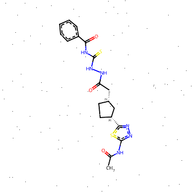 CC(=O)Nc1nnc([C@@H]2CC[C@H](CC(=O)NNC(=S)NC(=O)c3ccccc3)C2)s1